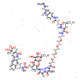 CC[C@@]1(O)C(=O)OCc2c1cc1n(c2=O)Cc2c-1nc1ccccc1c2CCN(C(=O)OCc1ccc(NC(=O)[C@H](C)NC(=O)[C@@H](NC(=O)CCOCCOCCOCCOCCNC(=O)[C@H](CCC(=O)O)NC(=O)CCC(=O)Nc2ccc3c(c2)cc(CN(C)NC)n3C)C(C)C)c(O[C@@H]2O[C@H](C(=O)O)[C@@H](O)[C@H](O)[C@H]2O)c1)C(C)C